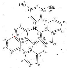 CC(C)(C)c1cc(N(c2ccccc2-c2cccc3cccc(-c4ccccc4)c23)c2cccc3ccccc23)cc(C(C)(C)C)c1